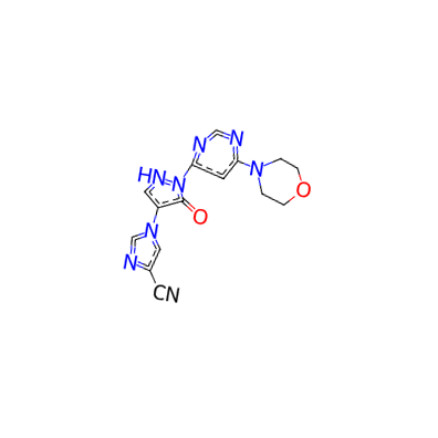 N#Cc1cn(-c2c[nH]n(-c3cc(N4CCOCC4)ncn3)c2=O)cn1